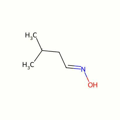 C[C](C)CC=NO